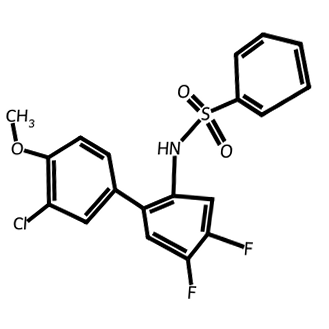 COc1ccc(-c2cc(F)c(F)cc2NS(=O)(=O)c2ccccc2)cc1Cl